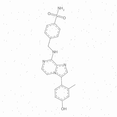 Cc1cc(O)ccc1-c1cnc2c(NCc3ccc(S(N)(=O)=O)cc3)nccn12